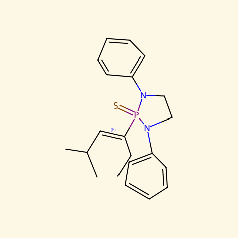 CC/C(=C\C(C)C)P1(=S)N(c2ccccc2)CCN1c1ccccc1